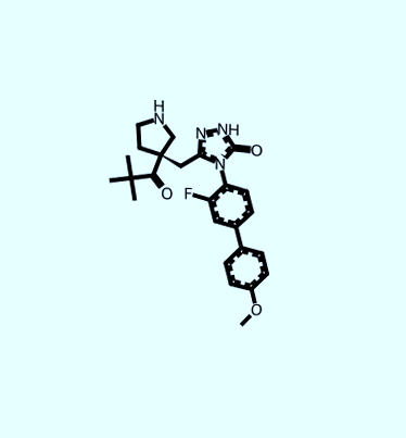 COc1ccc(-c2ccc(-n3c(C[C@@]4(C(=O)C(C)(C)C)CCNC4)n[nH]c3=O)c(F)c2)cc1